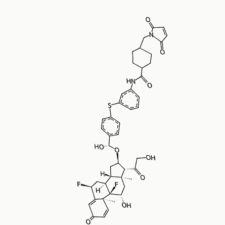 C[C@]12C[C@H](O)[C@@]3(F)[C@@H](C[C@H](F)C4=CC(=O)C=C[C@@]43C)[C@@H]1C[C@@H](O[C@H](O)c1ccc(Sc3cccc(NC(=O)C4CCC(CN5C(=O)C=CC5=O)CC4)c3)cc1)[C@@H]2C(=O)CO